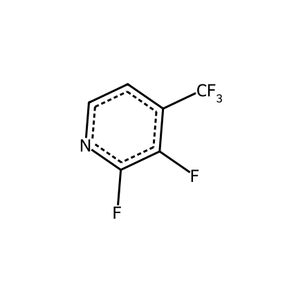 Fc1nccc(C(F)(F)F)c1F